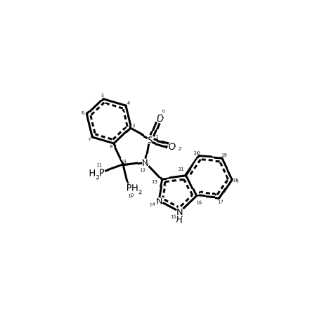 O=S1(=O)c2ccccc2C(P)(P)N1c1n[nH]c2ccccc12